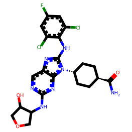 NC(=O)[C@H]1CC[C@H](n2c(Nc3c(Cl)cc(F)cc3Cl)nc3cnc(NC4COCC4O)nc32)CC1